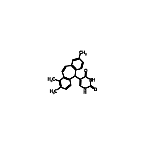 Cc1ccc2c(c1)C=Cc1c(ccc(C)c1C)C2c1c[nH]c(=O)[nH]c1=O